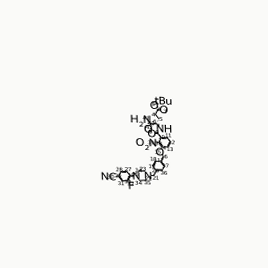 CC(C)(C)OC(=O)CC[C@H](NC(=O)c1cccc(OCc2ccc(CN3CCN(c4ccc(C#N)cc4F)CC3)cc2)c1[N+](=O)[O-])C(N)=O